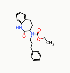 CCOC(=O)N(CCCc1ccccc1)[C@H]1CCc2ccccc2NC1=O